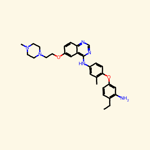 CCc1ccc(Oc2ccc(Nc3ncnc4ccc(OCCN5CCN(C)CC5)cc34)cc2C)cc1N